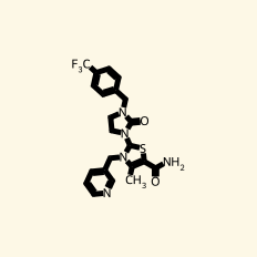 CC1=C(C(N)=O)SC(N2CCN(Cc3ccc(C(F)(F)F)cc3)C2=O)N1Cc1cccnc1